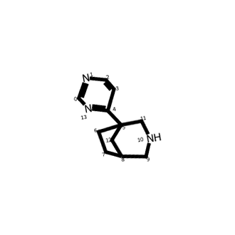 [c]1nccc(C23CCC(CNC2)C3)n1